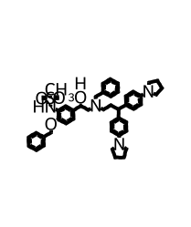 CS(=O)(=O)Nc1cc([C@@H](O)CN(CCC(c2ccc(N3CCCC3)cc2)c2ccc(N3CCCC3)cc2)Cc2ccccc2)ccc1OCc1ccccc1